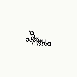 Cc1ccc(CC(=O)N2CC3[C@@H](NC(=O)COc4ccccc4)C(=O)N3C2C(=O)OCc2ccccc2)cc1